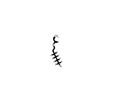 C=CC(=O)OCCC(F)(F)C(F)(F)C(F)(F)C(F)(F)CC